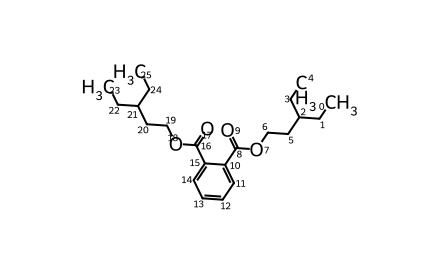 CCC(CC)CCOC(=O)c1ccccc1C(=O)OCCC(CC)CC